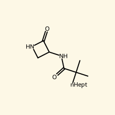 CCCCCCCC(C)(C)C(=O)NC1CNC1=O